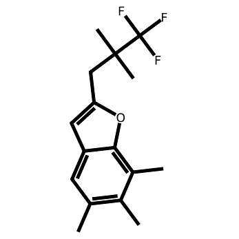 Cc1cc2cc(CC(C)(C)C(F)(F)F)oc2c(C)c1C